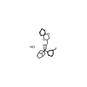 Cl.O=C(c1cccc(F)c1)N1C2CCC1CC(CNCC1COc3ccccc3O1)C2